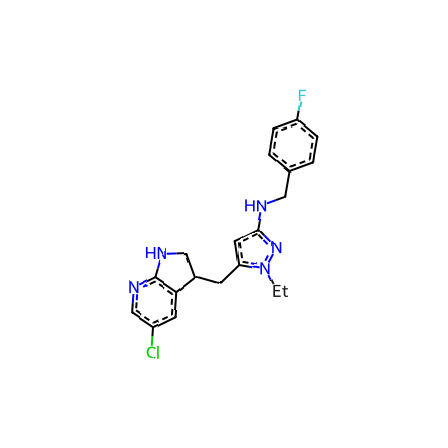 CCn1nc(NCc2ccc(F)cc2)cc1CC1CNc2ncc(Cl)cc21